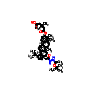 C=C(NNC(=O)C[C@]12CC[C@@H](C(=C)C)[C@@H]1[C@H]1CC[C@@H]3[C@@]4(C)CC[C@H](OC(=O)CC(C)(C)CC(=O)O)C(C)(C)[C@@H]4CC[C@@]3(C)[C@]1(C)CC2)OC(C)(C)C